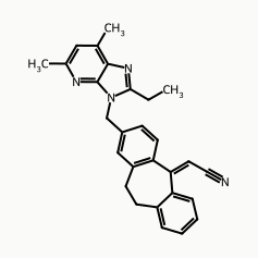 CCc1nc2c(C)cc(C)nc2n1Cc1ccc2c(c1)CCc1ccccc1C2=CC#N